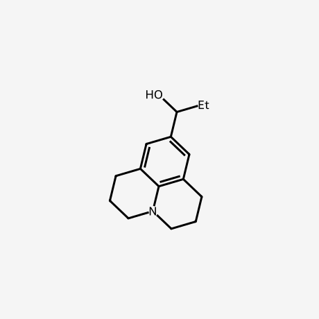 CCC(O)c1cc2c3c(c1)CCCN3CCC2